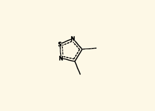 Cc1nsnc1C